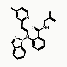 C=C(C)CNC(=O)c1ccccc1N(C=Cc1cc(C)ccn1)n1ncc2ccccc21